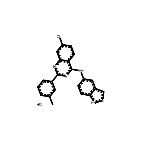 Cc1cccc(-c2nc(Nc3ccc4[nH]ncc4c3)c3ccc(Cl)cc3n2)c1.Cl